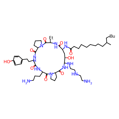 CCC(C)CC(C)CCCCCCCCC(=O)N[C@H]1C[C@@H](O)C(NCCNCCN)NC(=O)C2CCCN2C(=O)C(CCCN)NC(=O)C(CCc2ccc(O)cc2)NC(=O)C2CCCN2C(=O)C(CC)NC1=O